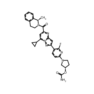 C[C@@H]1c2ccccc2CCN1C(=O)c1cc(C2CC2)n2nc(-c3ccc(N4CC[C@@H](OC(N)=O)C4)nc3F)cc2n1